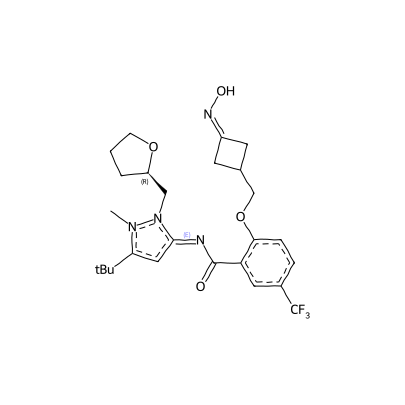 Cn1c(C(C)(C)C)c/c(=N\C(=O)c2cc(C(F)(F)F)ccc2OCC2CC(=NO)C2)n1C[C@H]1CCCO1